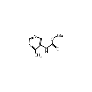 Cc1ncncc1NC(=O)OC(C)(C)C